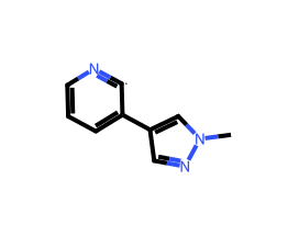 Cn1cc(-c2[c]nccc2)cn1